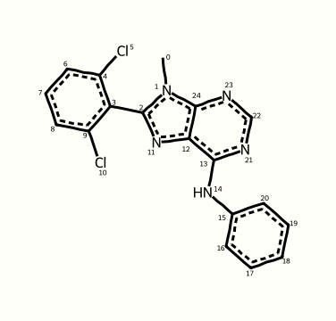 Cn1c(-c2c(Cl)cccc2Cl)nc2c(Nc3ccccc3)ncnc21